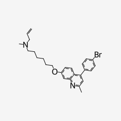 C=CCN(C)CCCCCCOc1ccc2c(-c3ccc(Br)cc3)cc(C)nc2c1